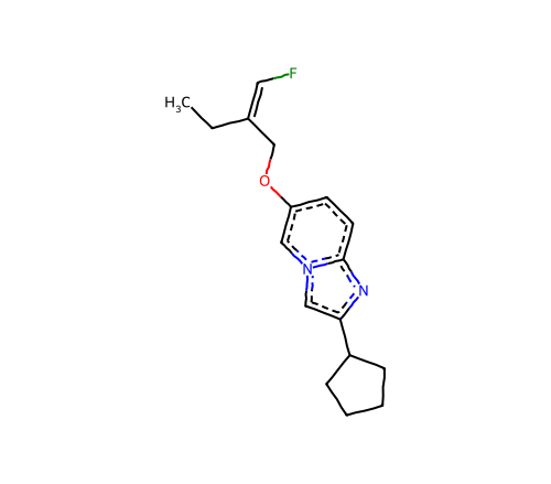 CC/C(=C/F)COc1ccc2nc(C3CCCC3)cn2c1